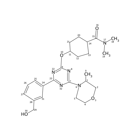 CC1COCCN1c1nc(OC2CCC(C(=O)N(C)C)CC2)nc(-c2cccc(CO)c2)n1